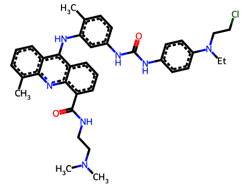 CCN(CCCl)c1ccc(NC(=O)Nc2ccc(C)c(Nc3c4cccc(C)c4nc4c(C(=O)NCCN(C)C)cccc34)c2)cc1